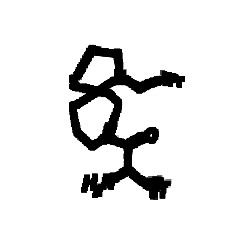 CC(C)CN1CCSC12CCCN(C(=O)C(N)C(C)C)C2